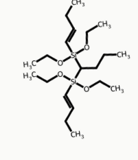 CCC=C[Si](OCC)(OCC)C(CCC)[Si](C=CCC)(OCC)OCC